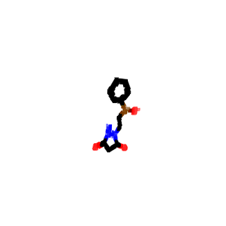 O=C1CC(=O)N(CC[S+]([O-])c2ccccc2)N1